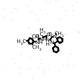 Cc1cc(C)c(NC(=O)N[C@@H](C)C(=O)N[C@H]2N=C(c3ccccc3)c3ccccc3N(C)C2=O)c(C)c1